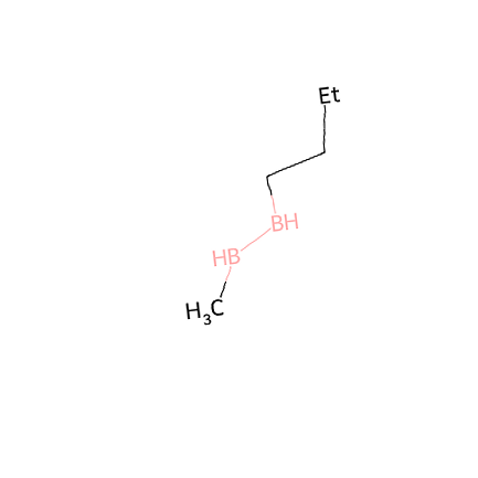 CBBCCCC